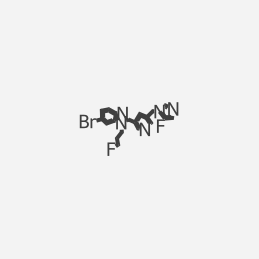 FCCCn1c(-c2cncc(Cn3cncc3F)c2)nc2ccc(Br)cc21